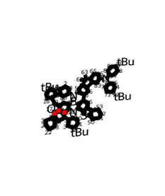 CC(C)(C)c1ccc(N2B3c4cc5c(-c6ccccc6)oc(-c6ccccc6)c5cc4N(c4ccc(C(C)(C)C)cc4-c4ccccc4)c4c3c(cc3c4sc4ccccc43)-c3cc4c(cc32)C(C)(C)c2ccc(N(c3ccc(C(C)(C)C)cc3)c3ccc(C(C)(C)C)cc3)cc2-4)cc1